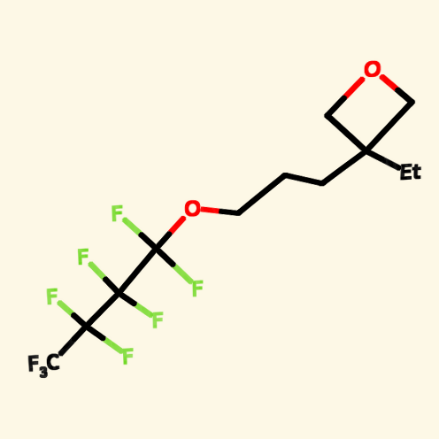 CCC1(CCCOC(F)(F)C(F)(F)C(F)(F)C(F)(F)F)COC1